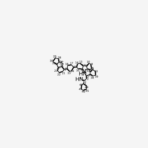 N=C(/C=C(\Nn1c2ccccc2c2ccc(-c3ccc(-c4cccc5c4sc4ccccc45)cc3)cc21)c1ccccc1)c1ccccc1